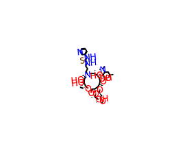 CC[C@H]1OC(=O)[C@H](C)[C@@H](O[C@@H](CCOC)O[C@@H](C)[C@@H](C)O)[C@H](C)[C@@H](O[C@@H]2O[C@H](C)C[C@H](N(C)C)[C@H]2O)[C@](C)(O)C[C@@H](C)CN(CCCNC(=S)Nc2cccnc2)[C@H](C)[C@@H](O)[C@]1(C)O